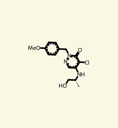 COc1ccc(Cn2ncc(N[C@H](C)CO)c(Cl)c2=O)cc1